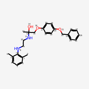 Cc1cccc(C)c1NCCNC(C)(O)COc1ccc(OCc2ccccc2)cc1